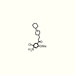 COc1cc(N)c(Cl)cc1C(=O)CCC1CCN(C2CCCCC2)CC1